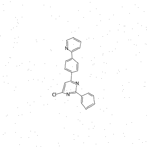 Clc1cc(-c2ccc(-c3ccccn3)cc2)nc(-c2ccccc2)n1